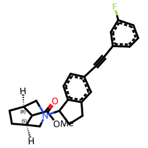 COC(=O)C1[C@@H]2CC[C@H]1CN(C1CCc3cc(C#Cc4cccc(F)c4)ccc31)C2